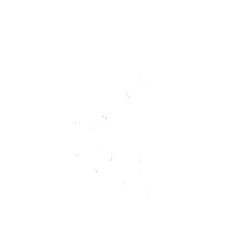 Cc1cccc(-c2nc(C)c(C(=O)N3CCN(C4CCCC4)CC3)s2)c1C